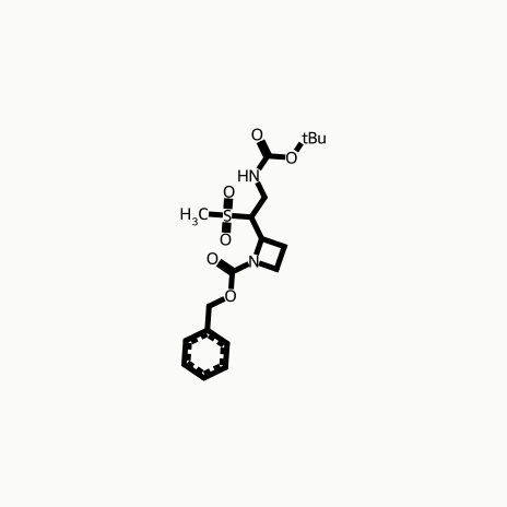 CC(C)(C)OC(=O)NCC(C1CCN1C(=O)OCc1ccccc1)S(C)(=O)=O